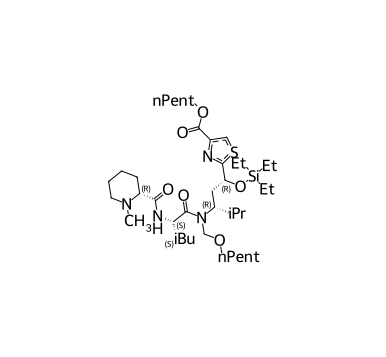 CCCCCOCN(C(=O)[C@@H](NC(=O)[C@H]1CCCCN1C)[C@@H](C)CC)[C@H](C[C@@H](O[Si](CC)(CC)CC)c1nc(C(=O)OCCCCC)cs1)C(C)C